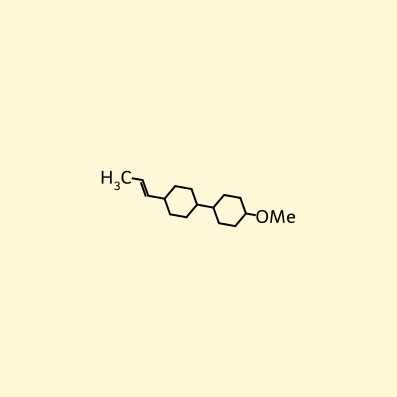 CC=CC1CCC(C2CCC(OC)CC2)CC1